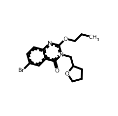 CCCOc1nc2ccc(Br)cc2c(=O)n1CC1CCCO1